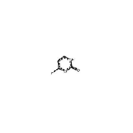 O=c1nc(F)cc[nH]1